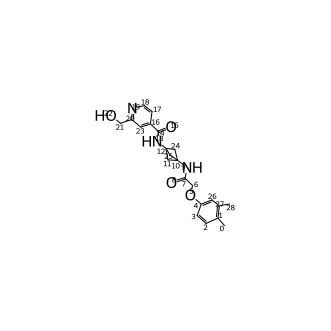 Cc1ccc(OCC(=O)NC23CC(NC(=O)c4ccnc(CO)c4)(C2)C3)cc1C